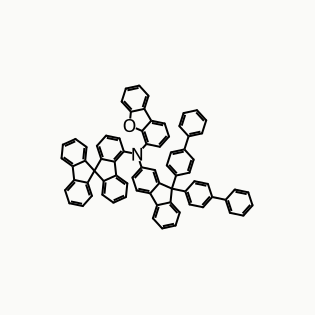 c1ccc(-c2ccc(C3(c4ccc(-c5ccccc5)cc4)c4ccccc4-c4ccc(N(c5cccc6c5-c5ccccc5C65c6ccccc6-c6ccccc65)c5cccc6c5oc5ccccc56)cc43)cc2)cc1